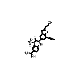 CC#Cc1cc([C@@H](Nc2ccc(C(=N)N)cc2)C(=O)NS(C)(=O)=O)cc2cc(CCO)oc12